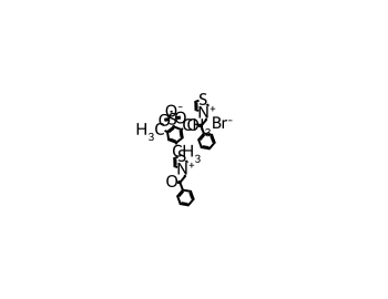 Cc1cc(C)c(S(=O)(=O)[O-])c(C)c1.O=C(C[n+]1ccsc1)c1ccccc1.O=C(C[n+]1ccsc1)c1ccccc1.[Br-]